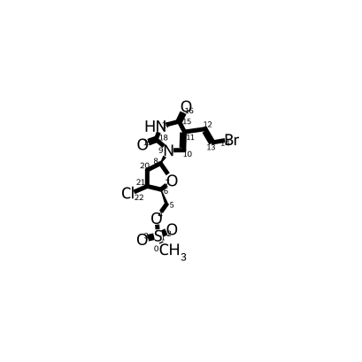 CS(=O)(=O)OC[C@@H]1O[C@H](n2cc(/C=C/Br)c(=O)[nH]c2=O)CC1Cl